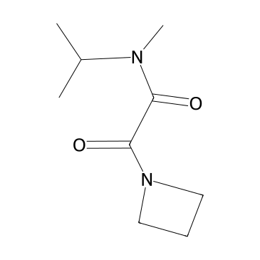 CC(C)N(C)C(=O)C(=O)N1CCC1